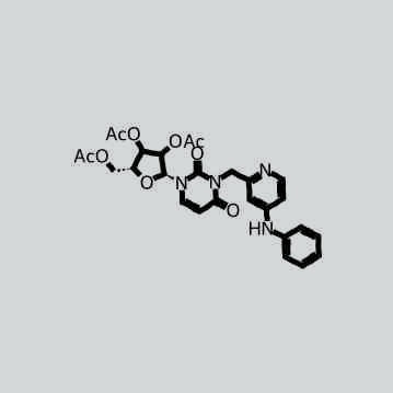 CC(=O)OC[C@H]1O[C@@H](n2ccc(=O)n(Cc3cc(Nc4ccccc4)ccn3)c2=O)C(OC(C)=O)C1OC(C)=O